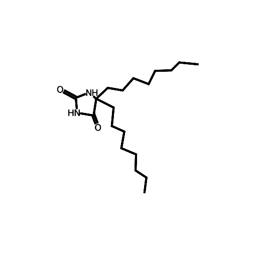 CCCCCCCCC1(CCCCCCCC)NC(=O)NC1=O